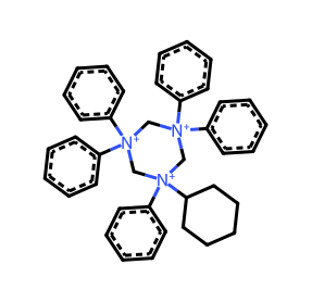 c1ccc([N+]2(c3ccccc3)C[N+](c3ccccc3)(c3ccccc3)C[N+](c3ccccc3)(C3CCCCC3)C2)cc1